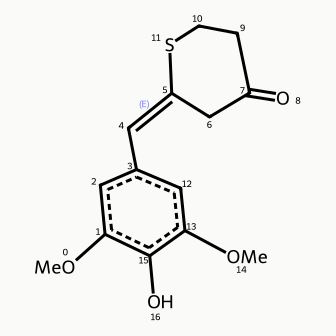 COc1cc(/C=C2\CC(=O)CCS2)cc(OC)c1O